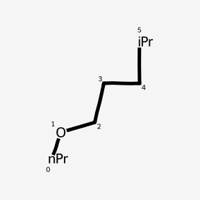 CCCOCCCC(C)C